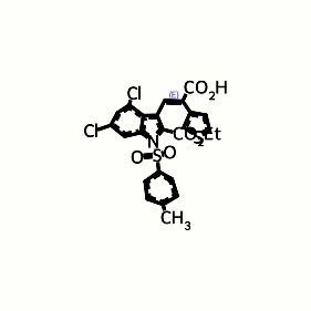 CCOC(=O)c1c(/C=C(/C(=O)O)c2ccsc2)c2c(Cl)cc(Cl)cc2n1S(=O)(=O)c1ccc(C)cc1